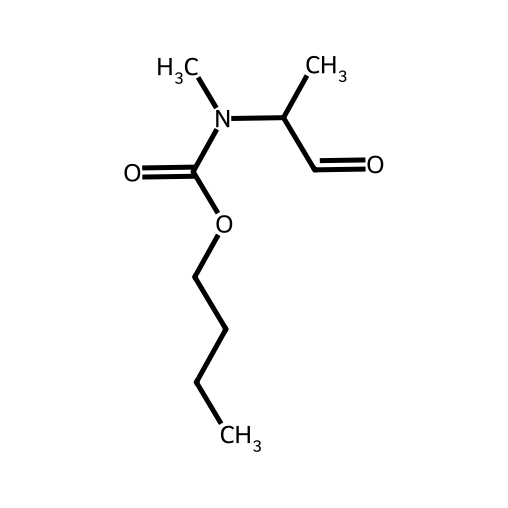 CCCCOC(=O)N(C)C(C)C=O